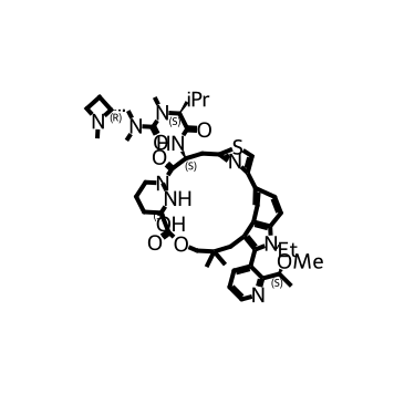 CCn1c(-c2cccnc2[C@H](C)OC)c2c3cc(ccc31)-c1csc(n1)C[C@H](NC(=O)[C@H](C(C)C)N(C)C(=O)N(C)C[C@H]1CCN1C)C(=O)N1CCC[C@@](O)(N1)C(=O)OCC(C)(C)C2